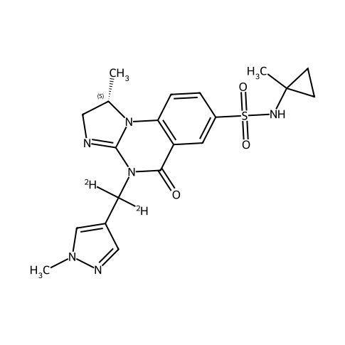 [2H]C([2H])(c1cnn(C)c1)N1C(=O)c2cc(S(=O)(=O)NC3(C)CC3)ccc2N2C1=NC[C@@H]2C